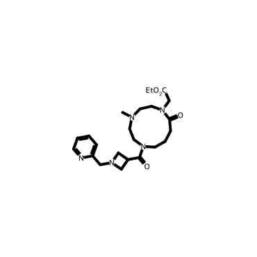 CCOC(=O)CN1CCN(C)CCN(C(=O)C2CN(Cc3ccccn3)C2)CCCC1=O